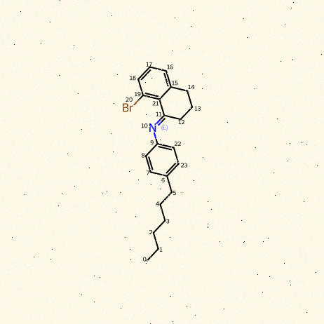 CCCCCCc1ccc(/N=C2\CCCc3cccc(Br)c32)cc1